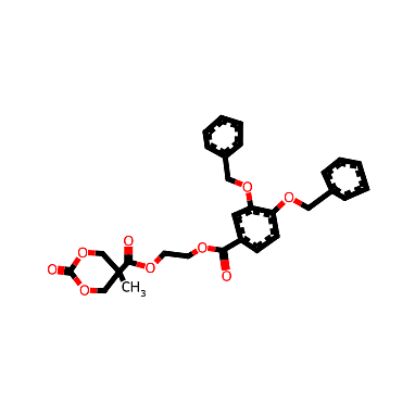 CC1(C(=O)OCCOC(=O)c2ccc(OCc3ccccc3)c(OCc3ccccc3)c2)COC(=O)OC1